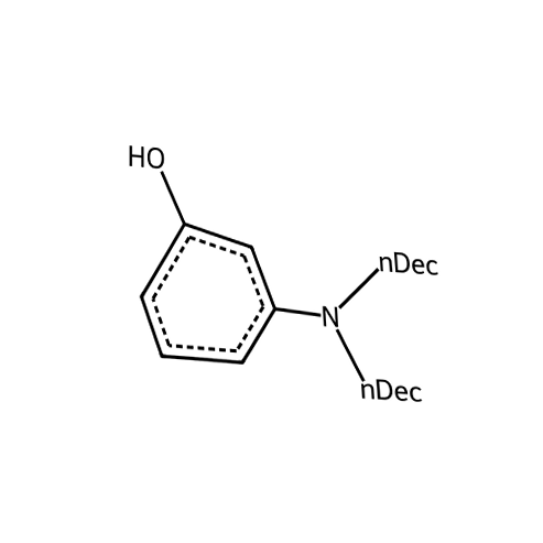 CCCCCCCCCCN(CCCCCCCCCC)c1cccc(O)c1